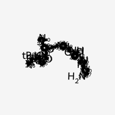 Cc1ncsc1-c1ccc(CNC(=O)[C@@H]2CCCN2C(=O)[C@@H](NC(=O)C2(F)CC2)C(C)(C)C)c(OCCCN2CCN(CC(=O)Nc3cccc(Sc4cnc(N5CCC(C)(CN)CC5)cn4)c3Cl)CC2)c1